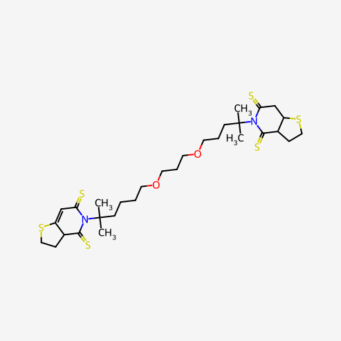 CC(C)(CCCCOCCCOCCCC(C)(C)N1C(=S)CC2SCCC2C1=S)N1C(=S)C=C2SCCC2C1=S